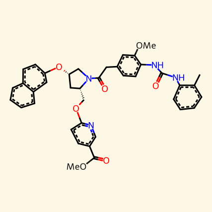 COC(=O)c1ccc(OC[C@@H]2C[C@H](Oc3ccc4ccccc4c3)CN2C(=O)Cc2ccc(NC(=O)Nc3ccccc3C)c(OC)c2)nc1